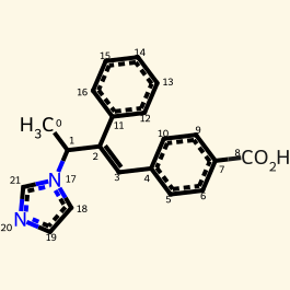 CC(C(=Cc1ccc(C(=O)O)cc1)c1ccccc1)n1ccnc1